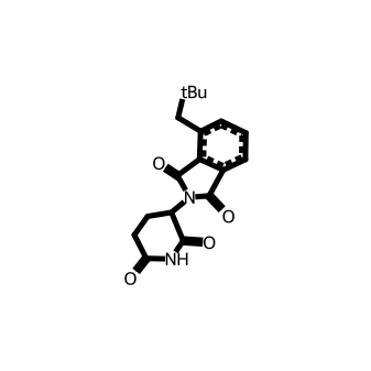 CC(C)(C)Cc1cccc2c1C(=O)N(C1CCC(=O)NC1=O)C2=O